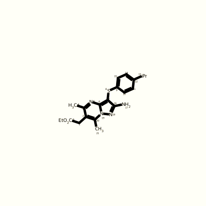 CCOC(=O)Cc1c(C)nc2c(Sc3ccc(C(C)C)cc3)c(N)nn2c1C